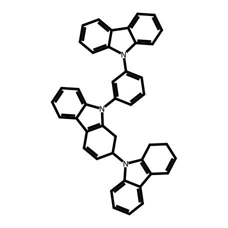 C1=Cc2c(n(C3C=Cc4c(n(-c5cccc(-n6c7ccccc7c7ccccc76)c5)c5ccccc45)C3)c3ccccc23)CC1